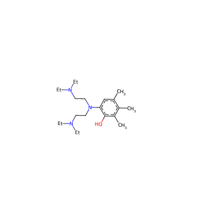 CCN(CC)CCN(CCN(CC)CC)c1cc(C)c(C)c(C)c1O